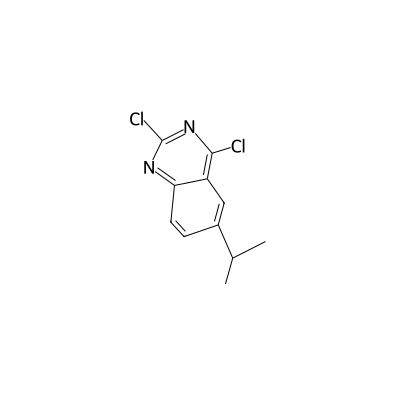 CC(C)c1ccc2nc(Cl)nc(Cl)c2c1